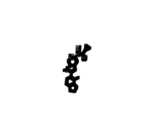 Cc1c(-c2cc3cc(NC(=O)C4CC4)ncc3n2C)ccc2c1CCC2